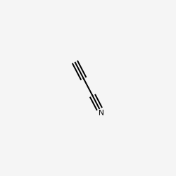 C#CC#N